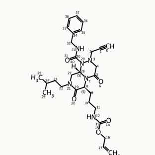 C#CCN1CC(=O)N2[C@@H](CCCNC(=O)OCC=C)C(=O)N(CCC(C)C)C[C@@H]2N1C(=O)NCc1ccccc1